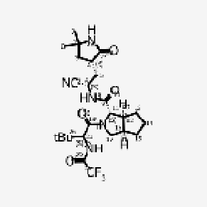 CC1(C)C[C@@H](C[C@@H](C#N)NC(=O)[C@@H]2[C@H]3CCC[C@H]3CN2C(=O)[C@@H](NC(=O)C(F)(F)F)C(C)(C)C)C(=O)N1